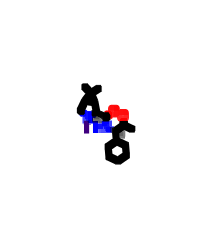 CC(=O)[C@@H](NC(=O)[C@@H]1C2C(CN1I)C2(C)C)C1CCCCC1